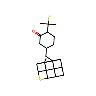 CC(C)(S)C1CCC(CC23C4C5C6SC7C8CC4C82C67C53C)CC1=O